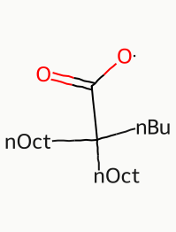 CCCCCCCCC(CCCC)(CCCCCCCC)C([O])=O